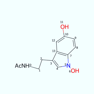 CC(=O)NCCc1cn(O)c2ccc(O)cc12